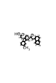 Cc1ccc2c(c1)c1c(n2CC(=O)O)CCN(C(=O)Cc2cccc3ccccc23)C1